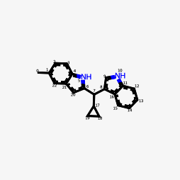 Cc1ccc2[nH]c(C(c3c[nH]c4ccccc34)C3CC3)cc2c1